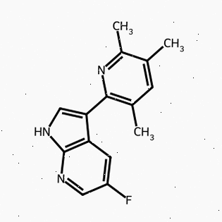 Cc1cc(C)c(-c2c[nH]c3ncc(F)cc23)nc1C